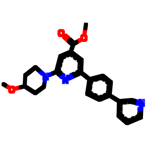 COC(=O)c1cc(-c2ccc(-c3cccnc3)cc2)nc(N2CCC(OC)CC2)c1